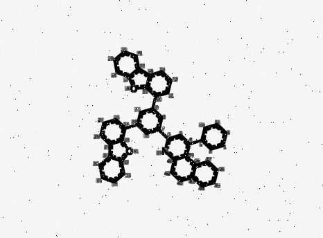 c1ccc(-c2cc(-c3cc(-c4cccc5c4oc4ccccc45)cc(-c4cccc5c4oc4ccccc45)c3)nc3ccc4ccccc4c23)cc1